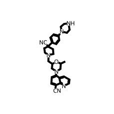 CC1CN(c2ccc(C#N)c3ncccc23)CC(CN2CCC(C#N)(c3ccc(N4CCNCC4)cc3)CC2)O1